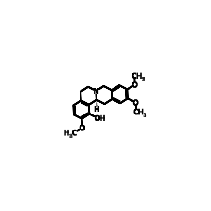 COc1cc2c(cc1OC)CN1CCc3ccc(OC)c(O)c3[C@@H]1C2